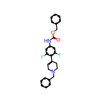 O=C(Nc1cc(F)c(C2=CCN(Cc3ccccc3)CC2)c(F)c1)OCc1ccccc1